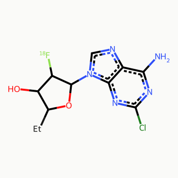 CCC1OC(n2cnc3c(N)nc(Cl)nc32)C([18F])C1O